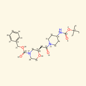 CC(C)(C)OC(=O)NC1CCN(C(=O)C[C@@H]2CN(C(=O)OCc3ccccc3)CCO2)CC1